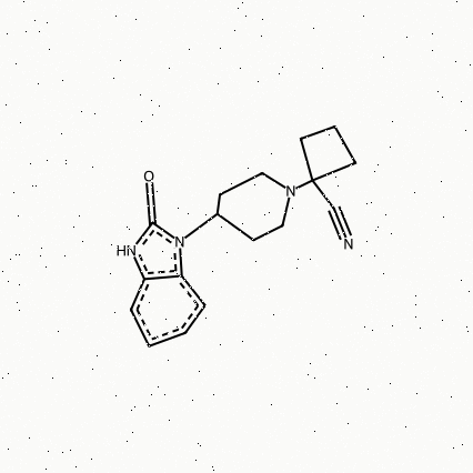 N#CC1(N2CCC(n3c(=O)[nH]c4ccccc43)CC2)CCC1